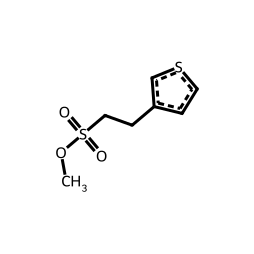 COS(=O)(=O)CCc1ccsc1